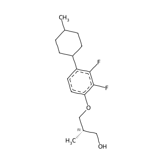 CC1CCC(c2ccc(OC[C@@H](C)CO)c(F)c2F)CC1